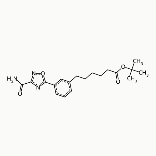 CC(C)(C)OC(=O)CCCCCc1cccc(-c2nc(C(N)=O)no2)c1